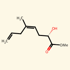 C=CC/C(C)=C\C[C@H](O)C(=O)OC